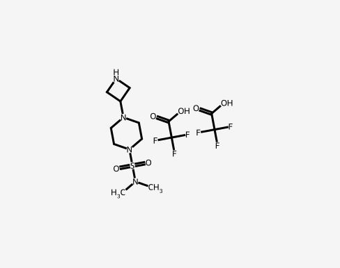 CN(C)S(=O)(=O)N1CCN(C2CNC2)CC1.O=C(O)C(F)(F)F.O=C(O)C(F)(F)F